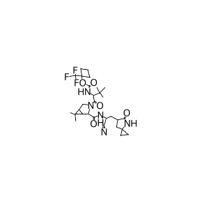 CC(C)(C)C(NC(=O)OC1(C(F)(F)F)CCC1)C(=O)N1CC2C(C1C(=O)NC(C#N)CC1CC3(CC3)NC1=O)C2(C)C